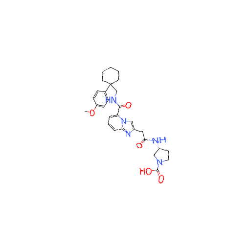 COc1ccc(C2(CNC(=O)c3cccc4nc(CC(=O)N[C@@H]5CCN(C(=O)O)C5)cn34)CCCCC2)cc1